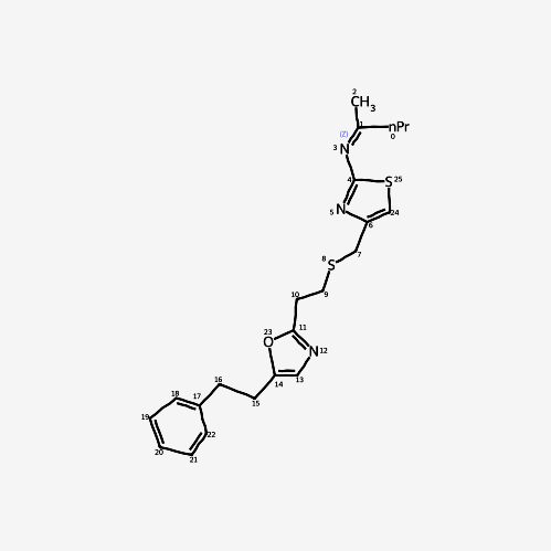 CCC/C(C)=N\c1nc(CSCCc2ncc(CCc3ccccc3)o2)cs1